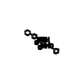 O=C(Nc1ccc(C2CCCCC2)cc1)C1=C(O)C2(CC[C@@H](OCc3ccccc3)C2)NC1=O